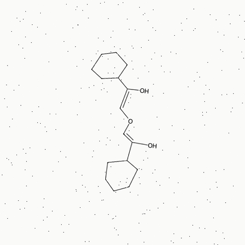 OC(=COC=C(O)C1CCCCC1)C1CCCCC1